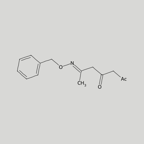 CC(=O)CC(=O)C/C(C)=N/OCc1ccccc1